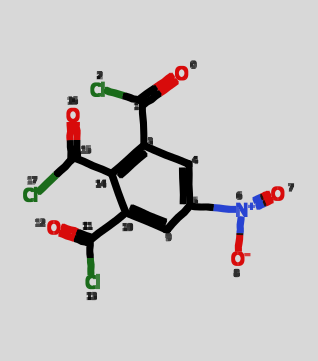 O=C(Cl)c1cc([N+](=O)[O-])cc(C(=O)Cl)c1C(=O)Cl